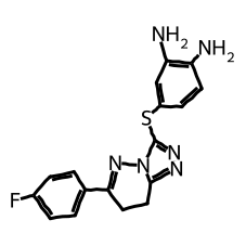 Nc1ccc(Sc2nnc3n2N=C(c2ccc(F)cc2)CC3)cc1N